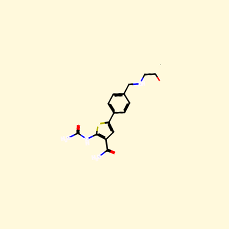 C[C@H](O)CNCc1ccc(-c2cc(C(N)=O)c(NC(N)=O)s2)cc1